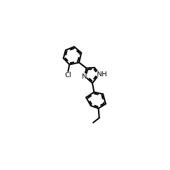 CCc1ccc(-c2nc(-c3ccccc3Cl)c[nH]2)cc1